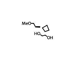 C1CCC1.C=CCOC.OCCO